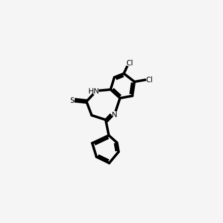 S=C1CC(c2ccccc2)=Nc2cc(Cl)c(Cl)cc2N1